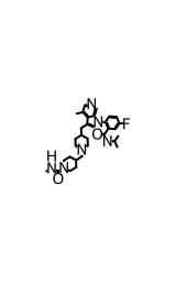 CNC(=O)N1CCC(CN2CCC(Cc3cn(-c4ccc(F)cc4C(=O)N(C)C(C)C)c4cncc(C)c34)CC2)CC1